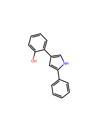 Oc1ccccc1-c1c[nH]c(-c2ccccc2)c1